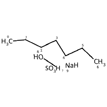 CCCCCCC.O=S(=O)(O)O.[NaH]